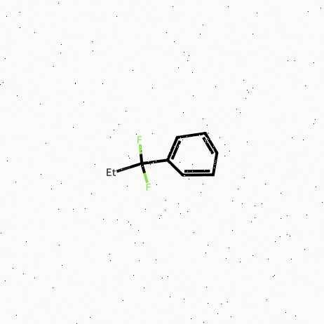 CCC(F)(F)c1c[c]ccc1